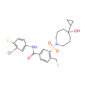 O=C(Nc1ccc(F)c(Cl)c1)c1ccc(CF)c(S(=O)(=O)N2CCCC(O)(C3CC3)CCC2)c1